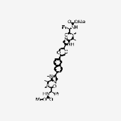 COC(=O)N[C@@H](C(=O)N(C)[C@@H](C)c1ncc(-c2ccc3cc(C4COC(c5cnc([C@H](C)N(C)C(=O)[C@H](NC(=O)OC)C(C)C)[nH]5)CO4)ccc3c2)[nH]1)C(C)C